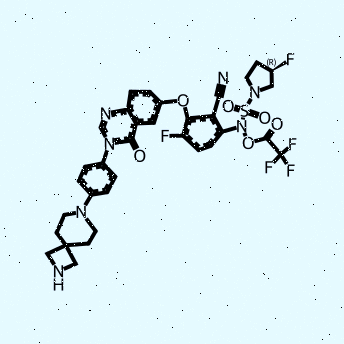 N#Cc1c(N(OC(=O)C(F)(F)F)S(=O)(=O)N2CC[C@@H](F)C2)ccc(F)c1Oc1ccc2ncn(-c3ccc(N4CCC5(CC4)CNC5)cc3)c(=O)c2c1